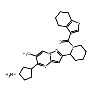 Cc1cn2nc([C@@H]3CCCCN3C(=O)c3csc4c3CCCC4)cc2nc1C1CC[C@H](N)C1